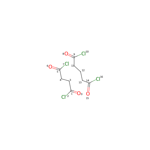 O=C(Cl)CCC(=O)Cl.O=C(Cl)CCCC(=O)Cl